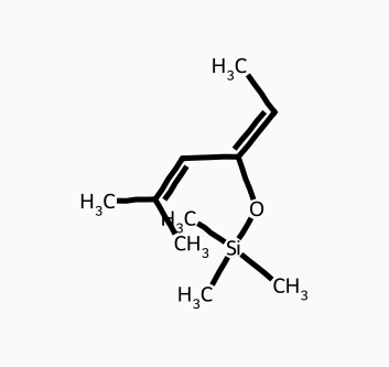 C/C=C(\C=C(C)C)O[Si](C)(C)C